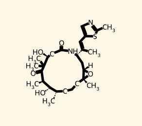 C/C(=C\c1cnc(C)s1)[C@@H]1C[C@@H]2O[C@]2(C)CCC[C@H](C)[C@H](O)[C@@H](C)C(=O)C(C)(C)[C@@H](O)CC(=O)N1